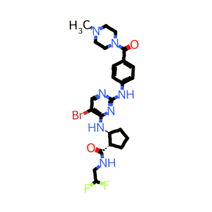 CN1CCN(C(=O)c2ccc(Nc3ncc(Br)c(N[C@@H]4CCC[C@@H]4C(=O)NCC(F)F)n3)cc2)CC1